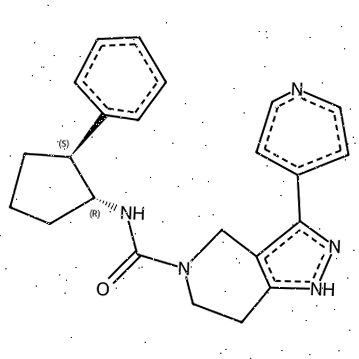 O=C(N[C@@H]1CCC[C@H]1c1ccccc1)N1CCc2[nH]nc(-c3ccncc3)c2C1